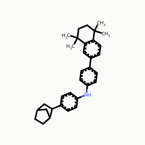 CC1(C)CCC(C)(C)c2cc(-c3ccc(Nc4ccc(C5CC6CCC5C6)cc4)cc3)ccc21